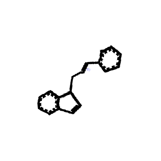 C1=CC(C/C=C/c2ccccc2)c2ccccc21